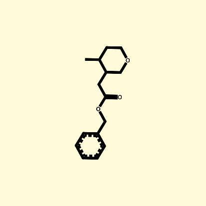 CC1CCOCC1CC(=O)OCc1ccccc1